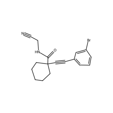 N#CCNC(=O)C1(C#Cc2cccc(Br)c2)CCCCC1